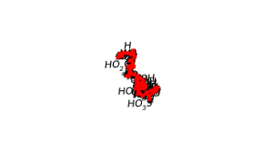 Cc1c(-c2ccc(N3CCc4cccc(C(=O)Nc5nc6ccccc6s5)c4C3)nc2C(=O)O)cnn1CC12CC3(C)CC(C)(C1)CC(OCCN(CC[C@H](O)CO)C(=O)OCc1ccc(NC(=O)[C@H](C)NC[C@@H](NC(=O)CN4C(=O)[C@@H](N5C(=O)C=CC5=O)C[C@H]4COCCS(=O)(=O)O)C(C)C)cc1CC[C@@H]1O[C@H](C(=O)O)[C@@H](O)[C@H](O)[C@H]1O)(C3)C2